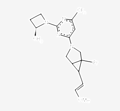 CO/C=C/C1C2CN(c3cc(C(F)(F)F)nc(N4CC[C@@H]4C)n3)CC12C(C)C